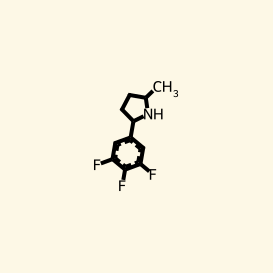 CC1CCC(c2cc(F)c(F)c(F)c2)N1